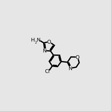 Nc1nc(-c2cc(Cl)cc(C3=NCCOC3)c2)co1